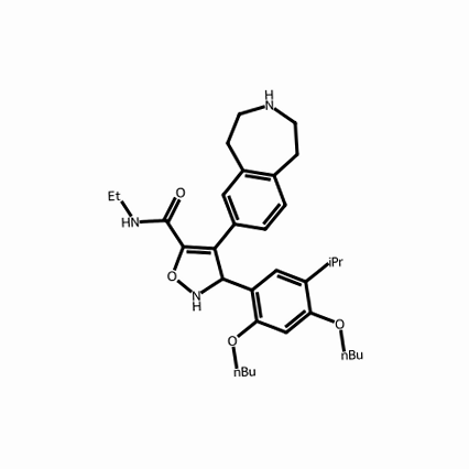 CCCCOc1cc(OCCCC)c(C2NOC(C(=O)NCC)=C2c2ccc3c(c2)CCNCC3)cc1C(C)C